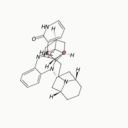 CC1(C)[C@H]2CC[C@@H](CCN3[C@@H]4CCC[C@H]3C[C@@H](n3c(=O)c(-c5ccc[nH]c5=O)nc5ccccc53)C4)[C@@H]1C2